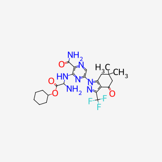 CC1(C)CC(=O)c2c(C(F)(F)F)nn(-c3cnc(C(N)=O)c(NC(N)C(=O)OC4CCCCC4)n3)c2C1